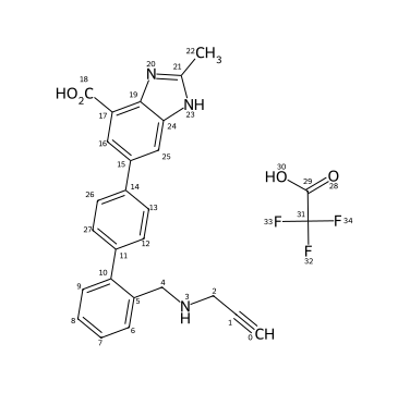 C#CCNCc1ccccc1-c1ccc(-c2cc(C(=O)O)c3nc(C)[nH]c3c2)cc1.O=C(O)C(F)(F)F